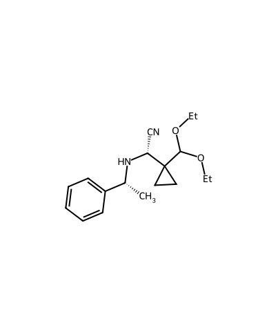 CCOC(OCC)C1([C@@H](C#N)N[C@H](C)c2ccccc2)CC1